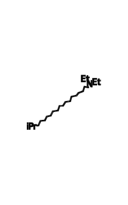 CCN(CC)CCCCCCCCCCCCCCCCCC(C)C